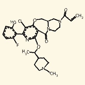 C=CC(=O)N1CCN2C(=O)c3c(OC(C)C4CCN(C)CC4)nc(-c4c(O)cccc4F)c(Cl)c3OCC2C1